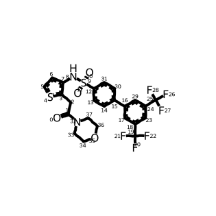 O=C(Cc1sccc1NS(=O)(=O)c1ccc(-c2cc(C(F)(F)F)cc(C(F)(F)F)c2)cc1)N1CCOCC1